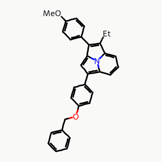 CCc1c(-c2ccc(OC)cc2)c2cc(-c3ccc(OCc4ccccc4)cc3)c3cccc1n32